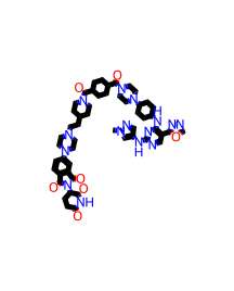 Cn1cc(Nc2ncc(-c3nnco3)c(NC3CCC(N4CCN(C(=O)C5CCC(C(=O)N6CCC(CCN7CCN(c8ccc9c(c8)C(=O)N(C8CCC(=O)NC8=O)C9=O)CC7)CC6)CC5)CC4)CC3)n2)cn1